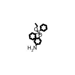 CCO[Si](Oc1ccc(N)cc1)(c1ccccc1)c1ccccc1